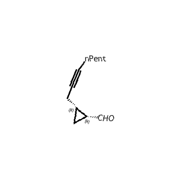 CCCCCC#CC[C@H]1C[C@H]1C=O